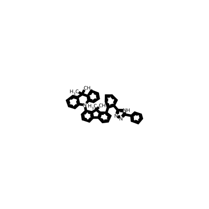 CC1(C)c2ccccc2N(c2cccc3c2C(C)(C)c2c(-c4ccccc4-c4nnc(-c5ccccc5)[nH]4)cccc2-3)c2ccccc21